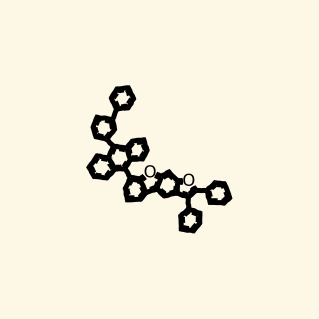 c1ccc(-c2cccc(-c3c4ccccc4c(-c4cccc5c4oc4cc6oc(-c7ccccc7)c(-c7ccccc7)c6cc45)c4ccccc34)c2)cc1